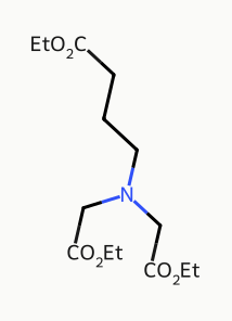 CCOC(=O)CCCN(CC(=O)OCC)CC(=O)OCC